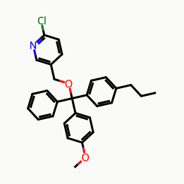 CCCc1ccc(C(OCc2ccc(Cl)nc2)(c2ccccc2)c2ccc(OC)cc2)cc1